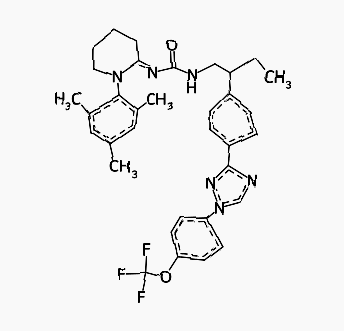 CCC(CNC(=O)/N=C1\CCCCN1c1c(C)cc(C)cc1C)c1ccc(-c2ncn(-c3ccc(OC(F)(F)F)cc3)n2)cc1